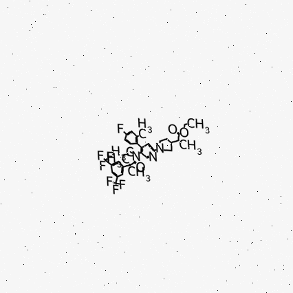 CCOC(=O)C(C)C1CCN(c2cc(-c3ccc(F)cc3C)c(N(C)C(=O)C(C)(C)c3cc(C(F)(F)F)cc(C(F)(F)F)c3)cn2)CC1